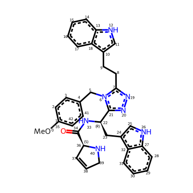 COc1ccc(Cn2c(CCc3c[nH]c4ccccc34)nnc2[C@@H](Cc2c[nH]c3ccccc23)NC(=O)[C@@H]2C=CCN2)cc1